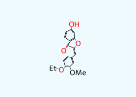 CCOc1ccc(C=C2Oc3cc(O)ccc3C2=O)cc1OC